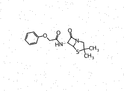 CC1(C)CN2C(=O)[C@@H](NC(=O)COc3ccccc3)C2S1